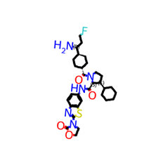 N[C@H](CCF)[C@H]1CC[C@H](C(=O)N2CC[C@@H](C3CCCCC3)[C@H]2C(=O)Nc2ccc3nc(N4CCOC4=O)sc3c2)CC1